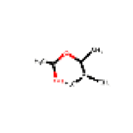 CC(O)OC(C)[As](C)C